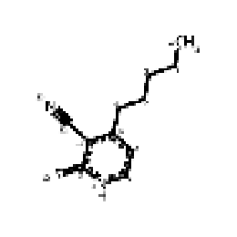 CCCCCc1cc[nH]c(=S)c1C#N